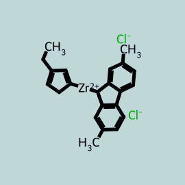 CCC1=CC[C]([Zr+2][CH]2c3cc(C)ccc3-c3ccc(C)cc32)=C1.[Cl-].[Cl-]